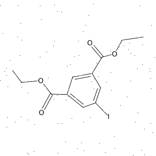 CCOC(=O)c1cc(I)cc(C(=O)OCC)c1